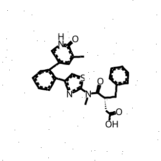 Cc1cc(-c2ccccc2-c2csc(N(C)C(=O)[C@@H](CC(=O)O)Cc3ccccc3)n2)c[nH]c1=O